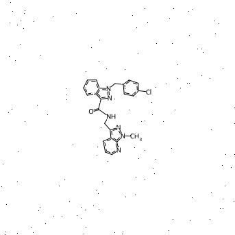 Cn1nc(CNC(=O)c2nn(Cc3ccc(Cl)cc3)c3ccccc23)c2cccnc21